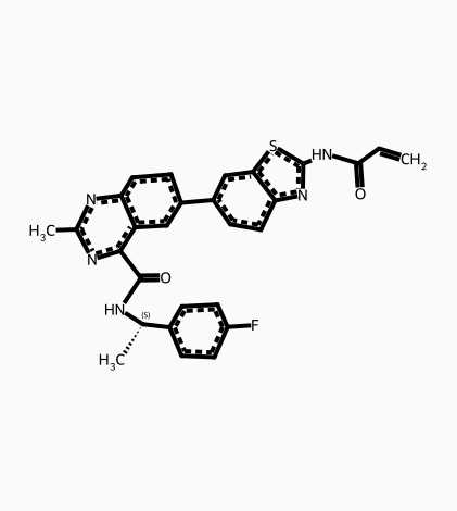 C=CC(=O)Nc1nc2ccc(-c3ccc4nc(C)nc(C(=O)N[C@@H](C)c5ccc(F)cc5)c4c3)cc2s1